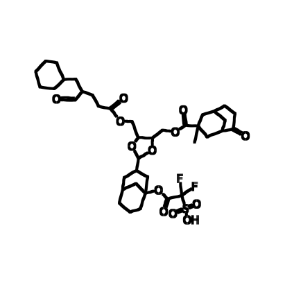 CC1(C(=O)OCC2OC(C3CC4CCCC(OC(=O)C(F)(F)S(=O)(=O)O)(C4)C3)OC2COC(=O)CCC(C=O)CC2CCCCC2)CC2CCC(=O)C(C2)C1